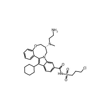 CN(CCN)[C@H]1COc2ccccc2-c2c(C3CCCCC3)c3ccc(C(=O)NS(=O)(=O)CCCCl)cc3n2C1